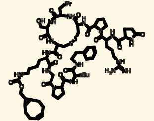 CCCCC(NC(=O)C1CCCN1C(=O)CNC(=O)C(CCCCNC(=O)OCC1C2CCC#CCCC21)NC(=O)C1CSSCC(NC(=O)C2CCCN2C(=O)C(CCCNC(=N)N)NC(=O)C2CCC(=O)N2)C(=O)NC(CC(C)C)C(=O)NC(CO)C(=O)N1)C(=O)NCCc1ccccc1